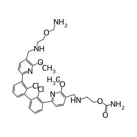 COc1nc(-c2cccc(-c3cccc(-c4ccc(CNCCOC(N)=O)c(OC)n4)c3Cl)c2Cl)ccc1CNCCOCN